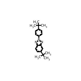 CC(C)(C)c1ccc(-n2nc3ccc(C(C)(C)C)cc3n2)cc1